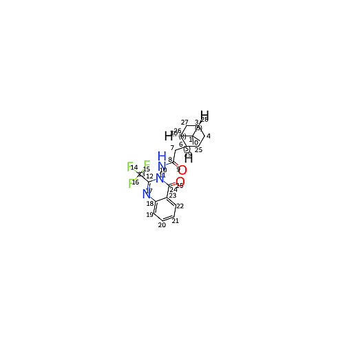 CC1(C)[C@H]2CC[C@@H](CC(=O)Nn3c(C(F)(F)F)nc4ccccc4c3=O)[C@H]1C2